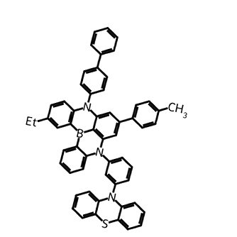 CCc1ccc2c(c1)B1c3ccccc3N(c3cccc(N4c5ccccc5Sc5ccccc54)c3)c3cc(-c4ccc(C)cc4)cc(c31)N2c1ccc(-c2ccccc2)cc1